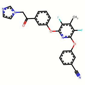 Cc1c(F)c(Oc2cccc(C#N)c2)nc(Oc2cccc(C(=O)Cn3ccnc3)c2)c1F